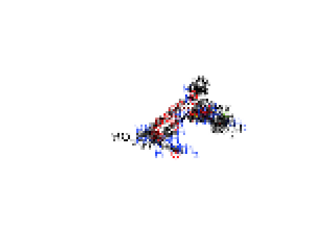 CCCCCCN(C(=O)[C@@H](NC(=O)[C@H]1CCCCN1C)[C@@H](C)CC)[C@H](C[C@@H](OC(=O)NCCNC(=O)OCc1ccc(NC(=O)[C@H](CCCNC(N)=O)NC(=O)[C@@H](NC(=O)[C@H](CCC(=O)O)NC(=O)CCOCCOCCOCCOCCNC(=O)OC[C@@H]2[C@@H]3CCC#CCC[C@@H]32)C(C)C)cc1)c1nc(C(=O)N[C@@H](Cc2ccc(N)c(F)c2)CC(C)(C)C(=O)O)cs1)C(C)C